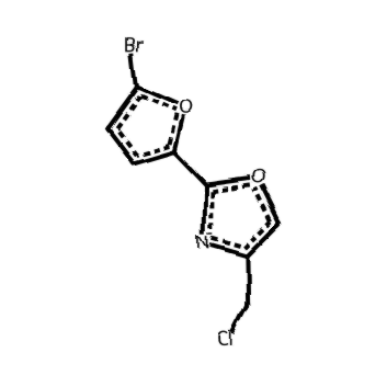 ClCc1coc(-c2ccc(Br)o2)n1